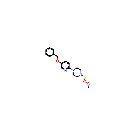 COOSN1CCN(c2ccc(OCc3ccccc3)cn2)CC1